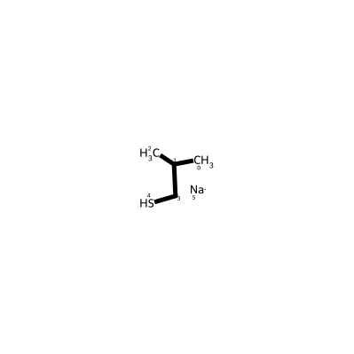 CC(C)CS.[Na]